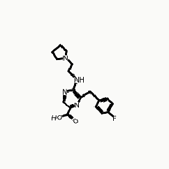 O=C(O)c1cnc(NCCN2CCCC2)c(Cc2ccc(F)cc2)n1